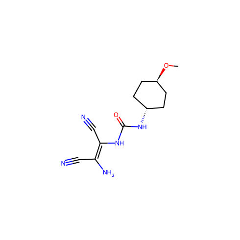 CO[C@H]1CC[C@H](NC(=O)N/C(C#N)=C(\N)C#N)CC1